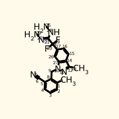 Cc1cccc(C#N)c1Cn1nc(C)c2ccc(C(F)(F)/C(=N/N)NN)cc21